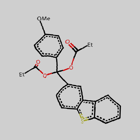 CCC(=O)OC(OC(=O)CC)(c1ccc(OC)cc1)c1ccc2sc3ccccc3c2c1